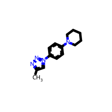 Cc1cn(-c2ccc(N3CCCCC3)cc2)nn1